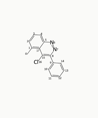 Cc1cccc2nnc(-c3ccccc3)c(Cl)c12